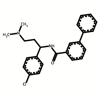 CN(C)CCC(NC(=O)c1cccc(-c2ccccc2)c1)c1ccc(Cl)cc1